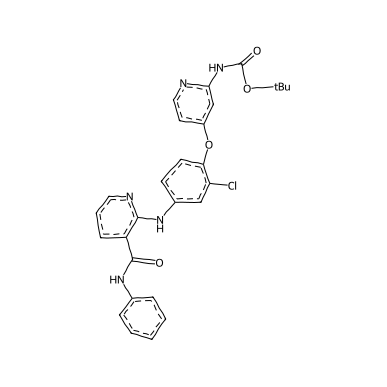 CC(C)(C)OC(=O)Nc1cc(Oc2ccc(Nc3ncccc3C(=O)Nc3ccccc3)cc2Cl)ccn1